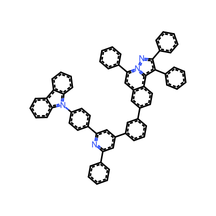 c1ccc(-c2cc(-c3cccc(-c4ccc5c(c4)cc(-c4ccccc4)n4nc(-c6ccccc6)c(-c6ccccc6)c54)c3)cc(-c3ccc(-n4c5ccccc5c5ccccc54)cc3)n2)cc1